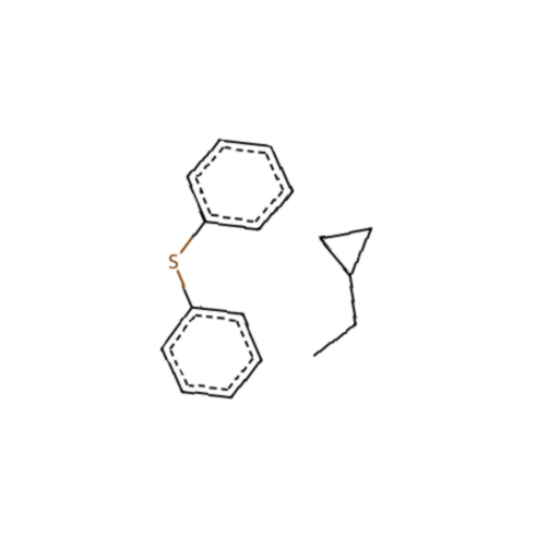 CCC1CC1.c1ccc(Sc2ccccc2)cc1